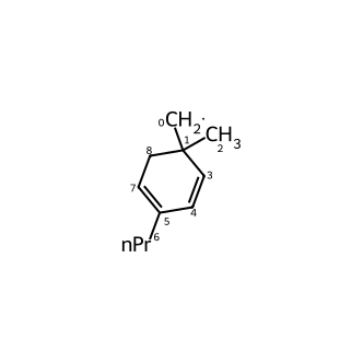 [CH2]C1(C)C=CC(CCC)=CC1